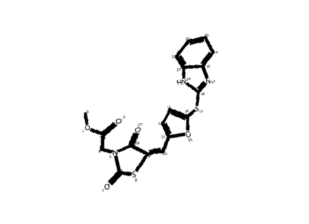 COC(=O)CN1C(=O)S/C(=C/c2ccc(Sc3nc4ccccc4[nH]3)o2)C1=O